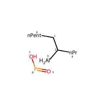 CCCCCC[CH]([AlH2])CCC.O=PO